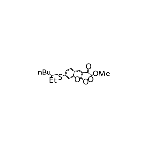 CCCCC(CC)CSc1ccc2cc(C(=O)C(=O)OC)c(=O)oc2c1